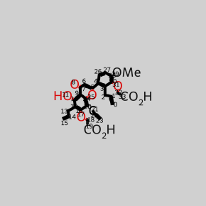 C=CCc1c(-c2cc(=O)c3c(O)c(CC=C)c(OCC(=O)O)c(CC=C)c3o2)ccc(OC)c1OCC(=O)O